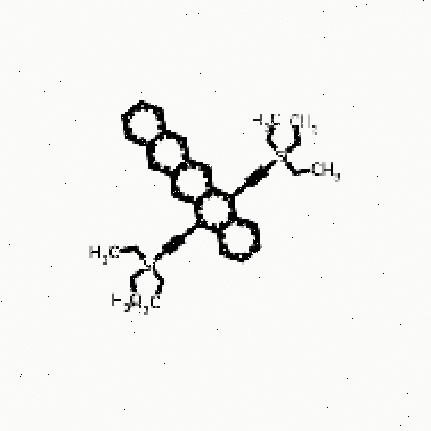 CC[Si](C#Cc1c2ccccc2c(C#C[Si](CC)(CC)CC)c2cc3cc4ccccc4cc3cc12)(CC)CC